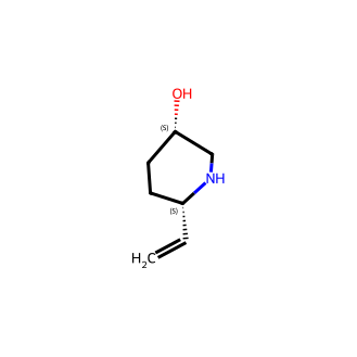 C=C[C@@H]1CC[C@H](O)CN1